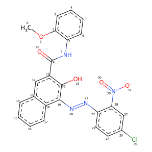 COc1ccccc1NC(=O)c1cc2ccccc2c(N=Nc2ccc(Cl)cc2[N+](=O)[O-])c1O